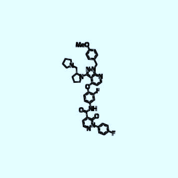 COc1ccc(Cn2nc(N3CCCC3CN3CCCC3)c3c(Oc4ccc(NC(=O)c5ccnn(-c6ccc(F)cc6)c5=O)cc4F)ccnc32)cc1